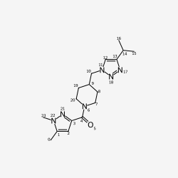 Cc1cc(C(=O)N2CCC(Cn3cc(C(C)C)nn3)CC2)nn1C